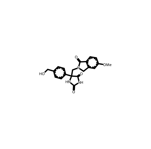 COc1ccc2c(c1)CN(CC1(c3ccc(CO)cc3)NC(=O)NC1=O)C2=O